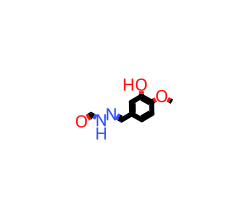 COc1ccc(/C=N/NC=O)cc1O